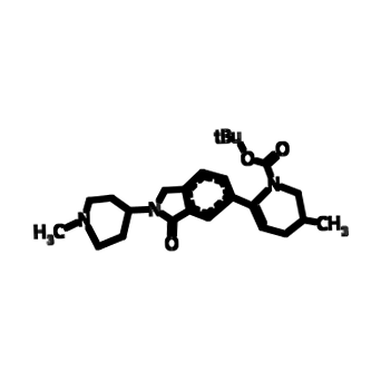 CC1CC=C(c2ccc3c(c2)C(=O)N(C2CCN(C)CC2)C3)N(C(=O)OC(C)(C)C)C1